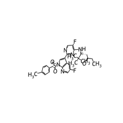 CCC(=O)C[C@@H](Nc1nc(-c2cn(S(=O)(=O)c3ccc(C)cc3)c3ncc(F)cc23)ncc1F)C(C)(C)C